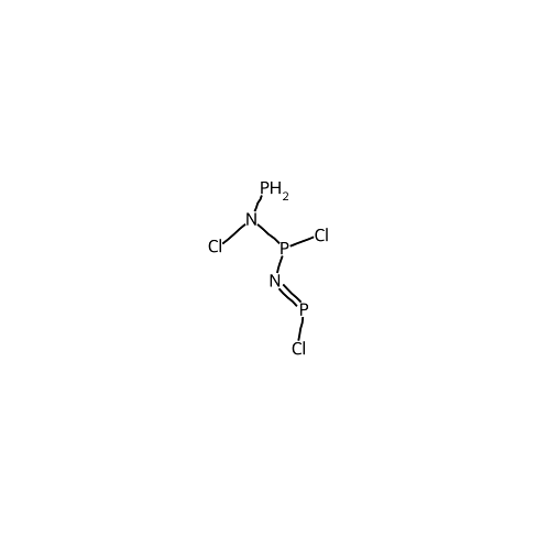 PN(Cl)P(Cl)N=PCl